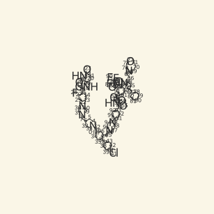 C[C@@]1(CN2CCC(CN3CCN(c4ccc(C(=O)N[C@@H]5CCC(=O)NC5=O)c(F)c4)CC3)CC2)CCC(c2ccc(Cl)cc2)=C(CN2CCN(c3ccc(C(=O)NS(=O)(=O)c4ccc(N[C@H](CCN5CCCOCC5)CSc5ccccc5)c(S(=O)(=O)C(F)(F)F)c4)cc3)CC2)C1